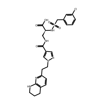 O=C(NC[C@H](NS(=O)(=O)Cc1cccc(Cl)c1)C(=O)O)c1cnn(CCc2ccc3c(n2)NCCC3)c1